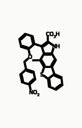 Cc1c2sc3ccccc3c2cc2[nH]c(C(=O)O)c(-c3ccccc3OCc3ccc([N+](=O)[O-])cc3)c12